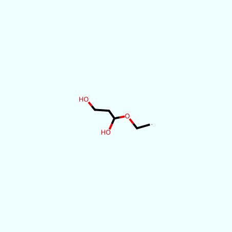 [CH2]COC(O)CCO